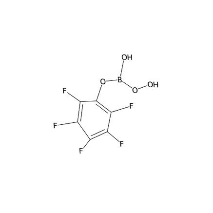 OOB(O)Oc1c(F)c(F)c(F)c(F)c1F